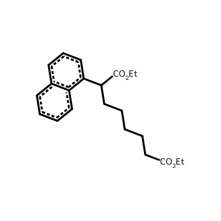 CCOC(=O)CCCCCC(C(=O)OCC)c1cccc2ccccc12